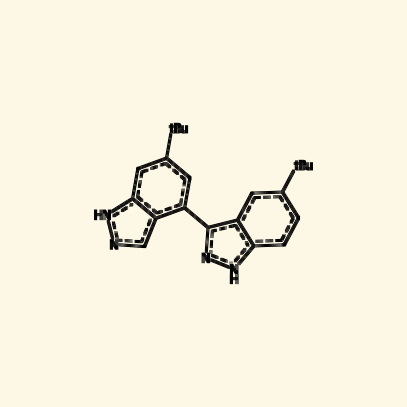 CC(C)(C)c1cc(-c2n[nH]c3ccc(C(C)(C)C)cc23)c2cn[nH]c2c1